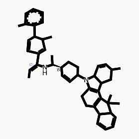 C/C=C(\NC(C)[C@@H]1C=CC(N2C3=C(C4=C(CC3)C3C=CC=CC3C4(C)C)C3CC(C)C=CC32)CC1)C1=CC(C)C(c2ccccc2C)C=C1